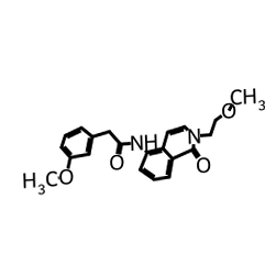 COCCn1ccc2c(NC(=O)Cc3cccc(OC)c3)cccc2c1=O